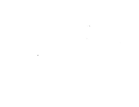 CCOC(=O)COCc1c(Br)cnn1COCC[Si](C)(C)C